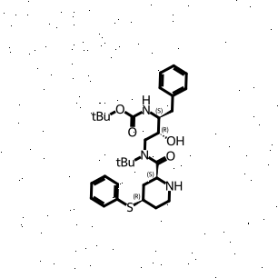 CC(C)(C)OC(=O)N[C@@H](Cc1ccccc1)[C@H](O)CN(C(=O)[C@@H]1C[C@H](Sc2ccccc2)CCN1)C(C)(C)C